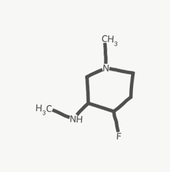 CNC1CN(C)CCC1F